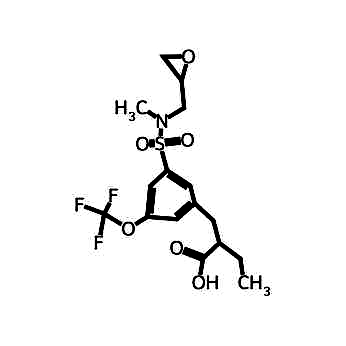 CCC(Cc1cc(OC(F)(F)F)cc(S(=O)(=O)N(C)CC2CO2)c1)C(=O)O